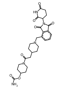 NC(=O)OC1CCN(C(=O)CC2CCN(Cc3cccc4c3C(=O)N(C3CCC(=O)NC3=O)C4=O)CC2)CC1